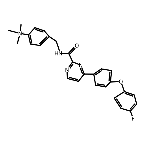 C[N+](C)(C)c1ccc(CNC(=O)c2nccc(-c3ccc(Oc4ccc(F)cc4)cc3)n2)cc1